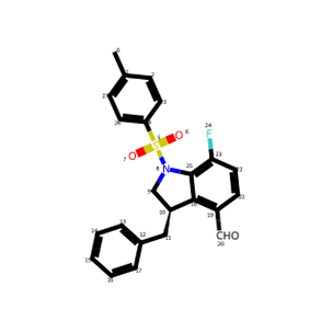 Cc1ccc(S(=O)(=O)N2C[C@H](Cc3ccccc3)c3c(C=O)ccc(F)c32)cc1